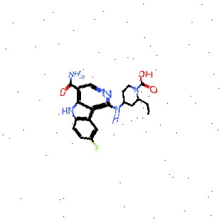 CCC1CC(Nc2ncc(C(N)=O)c3[nH]c4ccc(F)cc4c23)CCN1C(=O)O